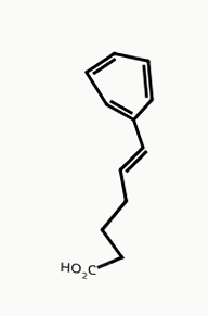 O=C(O)CCCC=Cc1ccccc1